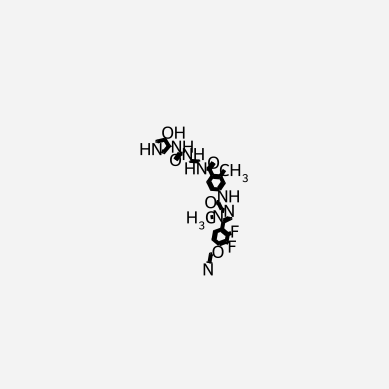 Cc1cc(NC(=O)c2ncc(-c3ccc(OCC#N)c(F)c3F)n2C)ccc1C(=O)NCCNC(=O)N[C@@H]1CNC[C@H]1O